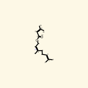 CC(C)=CCC/C(C)=C\COC(=O)C=C(C)C